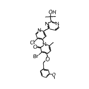 COc1cccc(COc2cc(C)n(-c3cc(-c4ccnc(C(C)(C)O)n4)ncc3Cl)c(=O)c2Br)c1